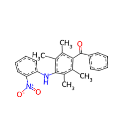 Cc1c(C)c(C(=O)c2ccccc2)c(C)c(C)c1Nc1ccccc1[N+](=O)[O-]